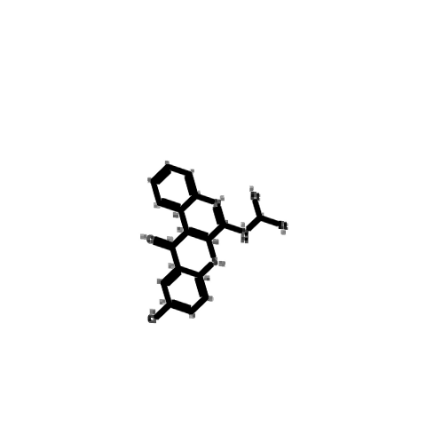 CCC(CC)Nc1nc2ccccc2c2c(=O)c3cc(Cl)ccc3sc12